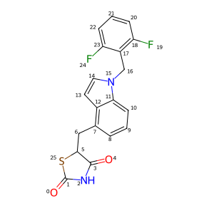 O=C1NC(=O)C(Cc2cccc3c2ccn3Cc2c(F)cccc2F)S1